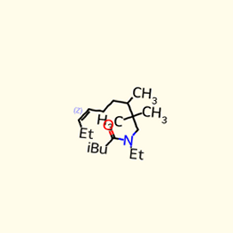 CC/C=C\CCC(C)C(C)(C)CN(CC)C(=O)C(C)CC